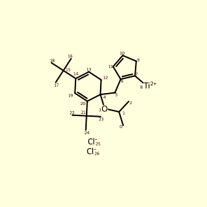 CC(C)OC1(CC2=[C]([Ti+2])CC=C2)CC=C(C(C)(C)C)C=C1C(C)(C)C.[Cl-].[Cl-]